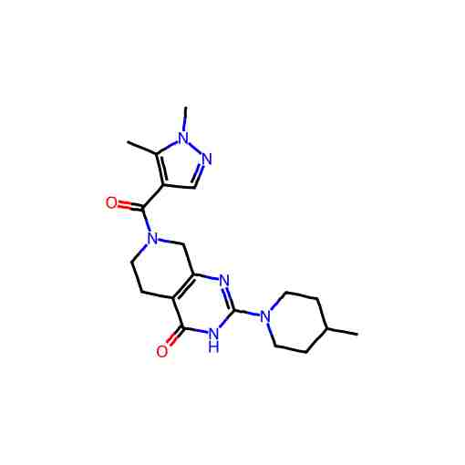 Cc1c(C(=O)N2CCc3c(nc(N4CCC(C)CC4)[nH]c3=O)C2)cnn1C